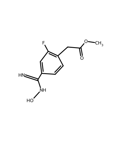 COC(=O)Cc1ccc(C(=N)NO)cc1F